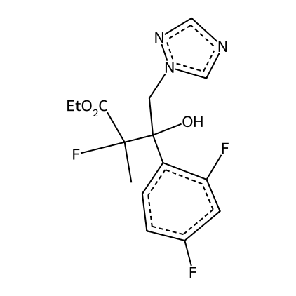 CCOC(=O)C(C)(F)C(O)(Cn1cncn1)c1ccc(F)cc1F